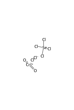 Cl[Se](Cl)(Cl)Cl.[Cl-].[Cl-].[O]=[Cr+2]=[O]